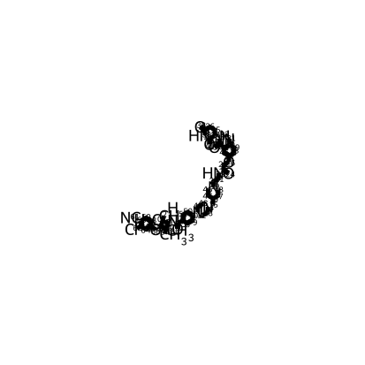 CC1(C)[C@H](NC(=O)c2ccc(N3CCN(CC4CCN(CCNC(=O)COc5ccc6nnn(C7CCC(=O)NC7=O)c(=O)c6c5)CC4)CC3)cc2)C(C)(C)[C@H]1Oc1ccc(C#N)c(Cl)c1